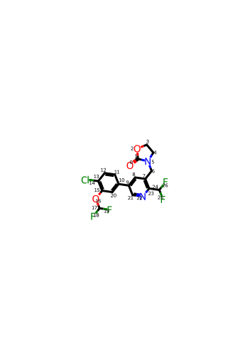 O=C1OCCN1Cc1cc(-c2ccc(Cl)c(OC(F)F)c2)cnc1C(F)F